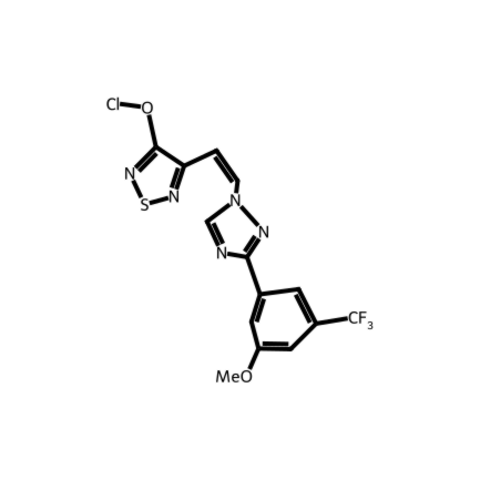 COc1cc(-c2ncn(/C=C\c3nsnc3OCl)n2)cc(C(F)(F)F)c1